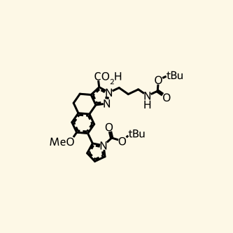 COc1cc2c(cc1-c1cccn1C(=O)OC(C)(C)C)-c1nn(CCCNC(=O)OC(C)(C)C)c(C(=O)O)c1CC2